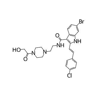 O=C(NCCN1CCN(C(=O)CO)CC1)c1c(C=Cc2ccc(Cl)cc2)[nH]c2cc(Br)ccc12